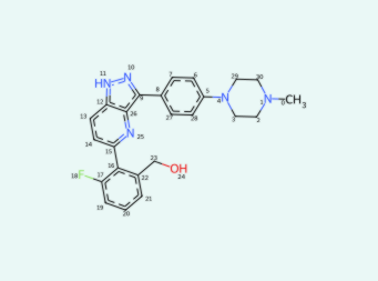 CN1CCN(c2ccc(-c3n[nH]c4ccc(-c5c(F)cccc5CO)nc34)cc2)CC1